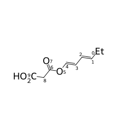 CCC=CC=COC(=O)CC(=O)O